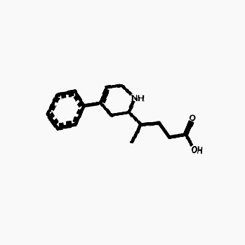 CC(CCC(=O)O)C1CC(c2ccccc2)=CCN1